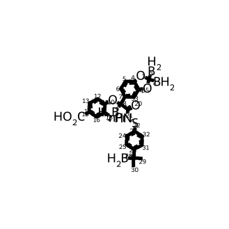 BC1(B)Oc2ccc(C(B)(Oc3ccc(C(=O)O)cc3CCC)C(=O)NSc3ccc(C(B)(C)C)cc3)cc2O1